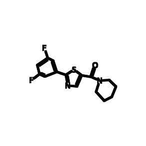 O=C(c1cnc(-c2cc(F)cc(F)c2)s1)N1CCCCC1